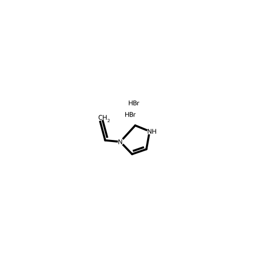 Br.Br.C=CN1C=CNC1